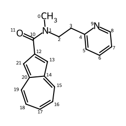 CN(CCc1ccccn1)C(=O)c1cc2cccccc-2c1